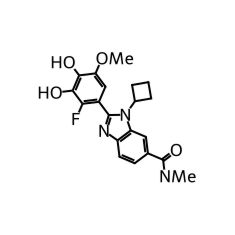 CNC(=O)c1ccc2nc(-c3cc(OC)c(O)c(O)c3F)n(C3CCC3)c2c1